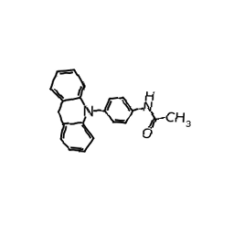 CC(=O)Nc1ccc(N2c3ccccc3Cc3ccccc32)cc1